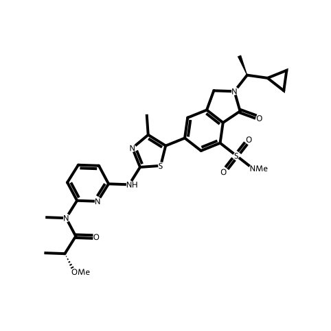 CNS(=O)(=O)c1cc(-c2sc(Nc3cccc(N(C)C(=O)[C@@H](C)OC)n3)nc2C)cc2c1C(=O)N([C@@H](C)C1CC1)C2